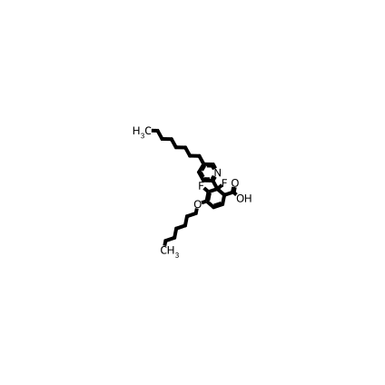 CCCCCCCCc1ccc(C2(F)C(F)=C(OCCCCCCC)C=CC2C(=O)O)nc1